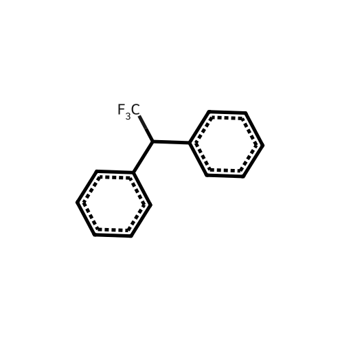 FC(F)(F)C(c1ccccc1)c1ccccc1